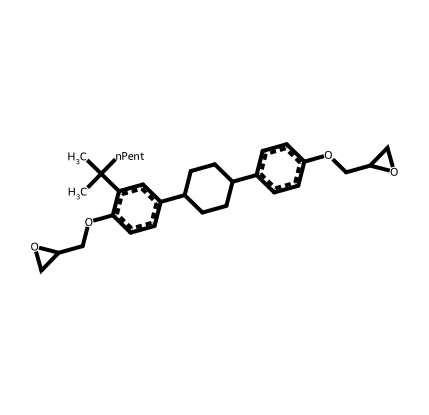 CCCCCC(C)(C)c1cc(C2CCC(c3ccc(OCC4CO4)cc3)CC2)ccc1OCC1CO1